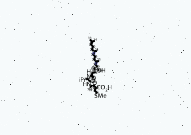 CSCCC(C(=O)O)C(=O)C(NC(=O)C(NC(=O)CCP(=O)(O)C/C=C(\C)CC/C=C(\C)CCC=C(C)C)C(C)C)C(C)C